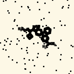 CO/N=C(/c1n[nH]c2c1C=CC(c1ccccc1)(c1ccc(N(C)C)cc1)C2)C1CCC1